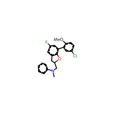 COc1ccc(Cl)cc1-c1cc(F)cc2c1OC(CN(C)c1ccccc1)C2